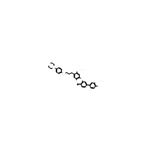 COc1cc2c(cc1CCCOc1ccc(N3CCOCC3)cc1)NC(=O)c1ccc(-c3ccc([N+](=O)[O-])c(OC)c3)cc1N2